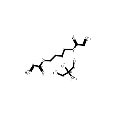 C=CC(=O)OCCCCOC(=O)C=C.CC(C)(CO)CO